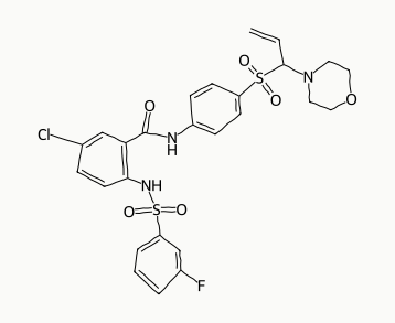 C=CC(N1CCOCC1)S(=O)(=O)c1ccc(NC(=O)c2cc(Cl)ccc2NS(=O)(=O)c2cccc(F)c2)cc1